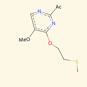 COc1cnc(C(C)=O)nc1OCCSI